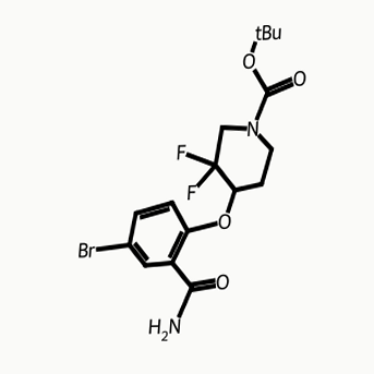 CC(C)(C)OC(=O)N1CCC(Oc2ccc(Br)cc2C(N)=O)C(F)(F)C1